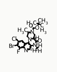 [2H]C([2H])([2H])N1C(=O)[C@H]2CN(C(=O)OC(C)(C)C)[C@H](C)CN2c2c1cnc1c(F)c(Br)c(Cl)cc21